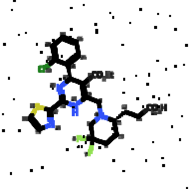 CCOC(=O)C1=C(CN2CC(F)(F)CC[C@H]2CCC(=O)O)NC(c2nccs2)=N[C@H]1c1ccccc1Cl